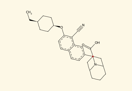 CC[C@H]1CC[C@@H](Oc2ccc3ccc(CN4C5CCCC4CC(C(=O)O)C5)cc3c2C#N)CC1